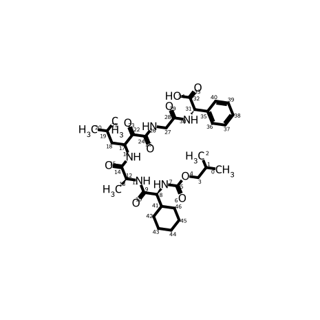 CC(C)COC(=O)N[C@H](C(=O)N[C@@H](C)C(=O)NC(CC(C)C)C(=O)C(=O)NCC(=O)N[C@H](C(=O)O)c1ccccc1)C1CCCCC1